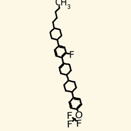 CCCCCC1CCC(c2ccc(C3=CCC(C4CCC(c5ccc(OC(F)(F)F)cc5)CC4)CC3)c(F)c2)CC1